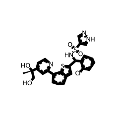 C[C@](O)(CO)c1ccnc(-c2cccc3cc(C(NS(=O)(=O)c4cn[nH]c4)c4ccccc4Cl)sc23)c1